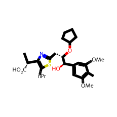 CCCc1sc(C[C@H](OC2CCCC2)[C@H](O)c2cc(OC)c(C)c(OC)c2)nc1[C@@H](C)C(=O)O